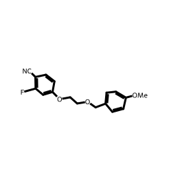 COc1ccc(COCCOc2ccc(C#N)c(F)c2)cc1